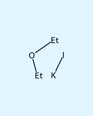 CCOCC.[K][I]